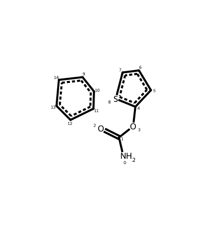 NC(=O)Oc1cccs1.c1ccccc1